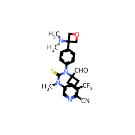 CN(C(=S)N(c1ccc(C2(N(C)C)COC2)cc1)C1(C=O)CCC1)c1cnc(C#N)c(C(F)(F)F)c1